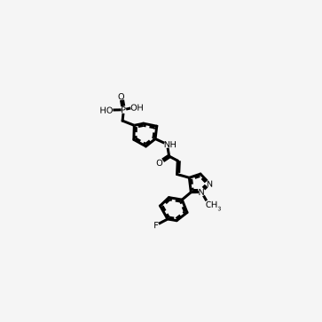 Cn1ncc(C=CC(=O)Nc2ccc(CP(=O)(O)O)cc2)c1-c1ccc(F)cc1